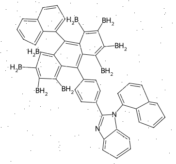 Bc1c(B)c(B)c2c(-c3cccc4ccccc34)c3c(B)c(B)c(B)c(B)c3c(-c3ccc(-c4nc5ccccc5n4-c4cccc5ccccc45)cc3)c2c1B